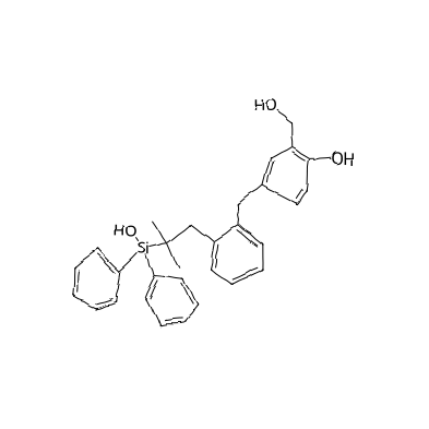 CC(C)(Cc1ccccc1Cc1ccc(O)c(CO)c1)[Si](O)(c1ccccc1)c1ccccc1